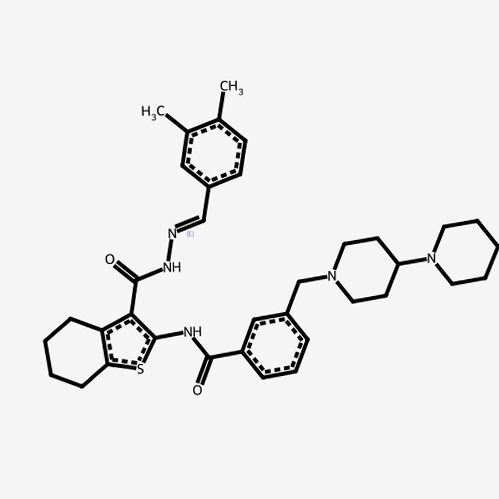 Cc1ccc(/C=N/NC(=O)c2c(NC(=O)c3cccc(CN4CCC(N5CCCCC5)CC4)c3)sc3c2CCCC3)cc1C